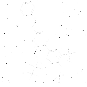 CC(C)(C)[Si](C)(C)OC[C@@H](NC(=O)OCc1ccccc1)C(=O)c1ccc(OC2CC2)c(C(F)(F)F)c1